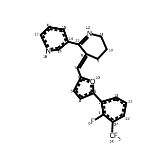 Fc1c(-c2ccc(C=C3CCCN=C3c3cccnc3)o2)cccc1C(F)(F)F